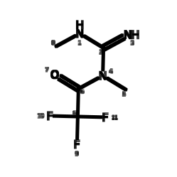 CNC(=N)N(C)C(=O)C(F)(F)F